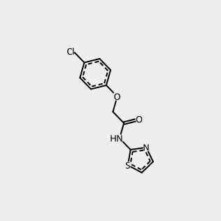 O=C(COc1ccc(Cl)cc1)Nc1nccs1